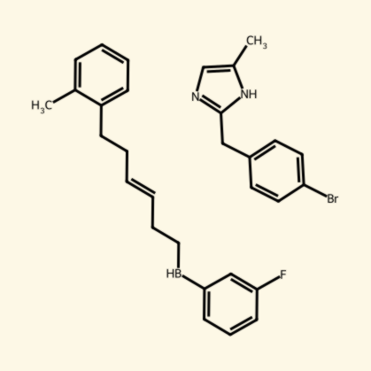 Cc1ccccc1CCC=CCCBc1cccc(F)c1.Cc1cnc(Cc2ccc(Br)cc2)[nH]1